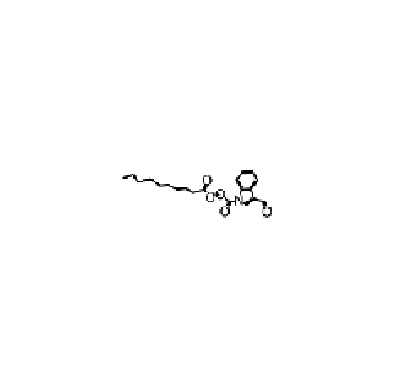 CCCCCCCCCC(=O)OOC(=O)n1cc(C=O)c2ccccc21